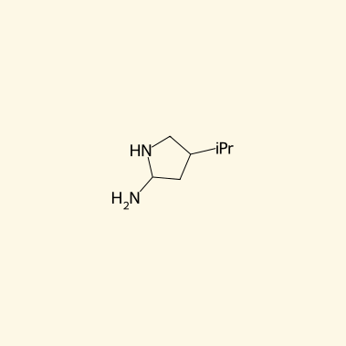 CC(C)C1CNC(N)C1